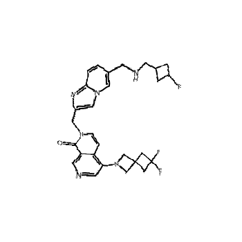 O=c1c2cncc(N3CC4(C3)CC(F)(F)C4)c2ccn1Cc1cn2cc(CNCC3CC(F)C3)ccc2n1